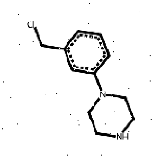 ClCc1cccc(N2CCNCC2)c1